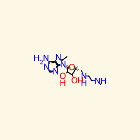 CNCCNC[C@H]1O[C@@H](n2c(C)nc3c(N)ncnc32)C(O)C1O